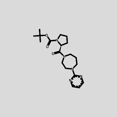 CC(C)(C)OC(=O)N1CCC[C@H]1C(=O)N1CCCN(c2ncccn2)CC1